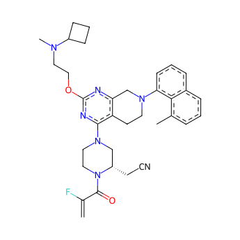 C=C(F)C(=O)N1CCN(c2nc(OCCN(C)C3CCC3)nc3c2CCN(c2cccc4cccc(C)c24)C3)C[C@@H]1CC#N